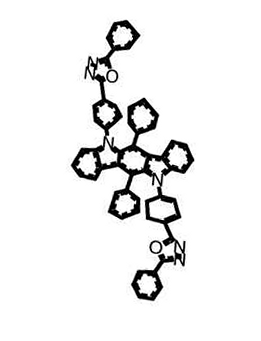 C1=C(c2nnc(-c3ccccc3)o2)CCC(n2c3ccccc3c3c(-c4ccccc4)c4c(c(-c5ccccc5)c32)c2ccccc2n4-c2ccc(-c3nnc(-c4ccccc4)o3)cc2)=C1